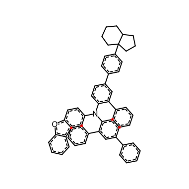 c1ccc(-c2ccc(N(c3ccc4oc5ccccc5c4c3)c3ccc(-c4ccc(C56CCCCC5CCC6)cc4)cc3-c3ccccc3)c(-c3ccccc3)c2)cc1